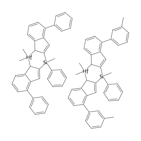 C[Si]1(c2ccccc2)C2=Cc3c(-c4ccccc4)cccc3[CH]2[Hf]([CH3])([CH3])[CH]2C1=Cc1c(-c3ccccc3)cccc12.Cc1cccc(-c2cccc3c2C=C2[CH]3[Hf]([CH3])([CH3])[CH]3C(=Cc4c(-c5cccc(C)c5)cccc43)[Si]2(C)c2ccccc2)c1